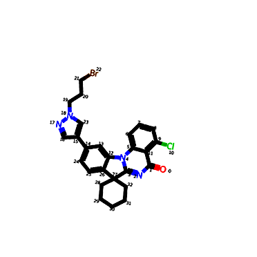 O=c1nc2n(c3cccc(Cl)c13)-c1cc(-c3cnn(CCCBr)c3)ccc1C21CCCCC1